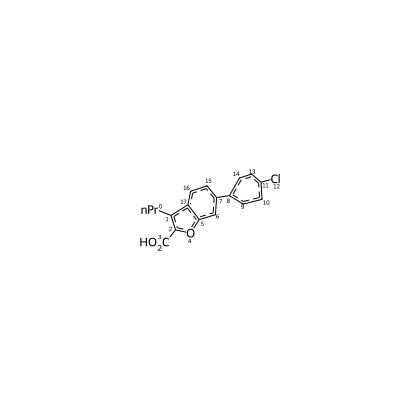 CCCc1c(C(=O)O)oc2cc(-c3ccc(Cl)cc3)ccc12